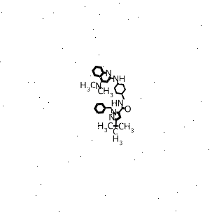 CN(C)c1cc(NC2CCC(CNC(=O)c3cc(C(C)(C)C)nn3Cc3ccccc3)CC2)nc2ccccc12